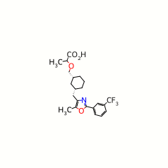 Cc1oc(-c2cccc(C(F)(F)F)c2)nc1C[C@H]1CCC[C@@H](COC(C)C(=O)O)C1